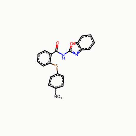 O=C(Nc1nc2ccccc2o1)c1ccccc1Sc1ccc([N+](=O)[O-])cc1